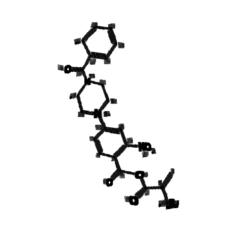 C=C(C(=O)OC(=O)c1ccc(N2CCN(C(=O)c3ccccc3)CC2)cc1[N+](=O)[O-])C(C)(C)C